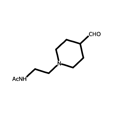 CC(=O)NCCN1CCC(C=O)CC1